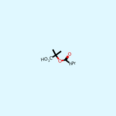 CCCC(=O)OC(C)(C)C(=O)O